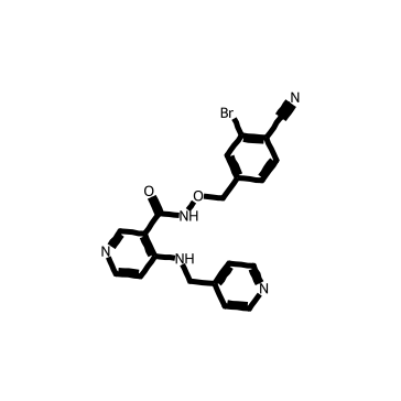 N#Cc1ccc(CONC(=O)c2cnccc2NCc2ccncc2)cc1Br